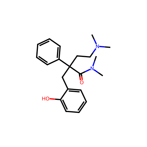 CN(C)CCC(Cc1ccccc1O)(C(=O)N(C)C)c1ccccc1